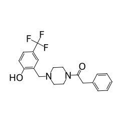 O=C(Cc1ccccc1)N1CCN(Cc2cc(C(F)(F)F)ccc2O)CC1